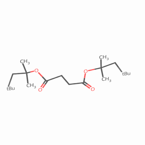 CC(C)(C)CC(C)(C)OC(=O)CCC(=O)OC(C)(C)CC(C)(C)C